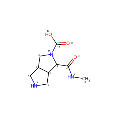 CNC(=O)C1C2CNCC2CN1C(=O)O